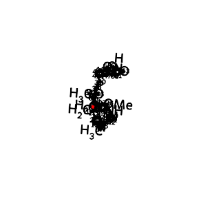 C=CC(=O)Nc1cc(Nc2nccc(-c3cn(C)c4ccccc34)n2)c(OC)cc1N(C)CCN(C)C(=O)CCCSc1cccc2c1CN(C1CCC(=O)NC1=O)C2=O